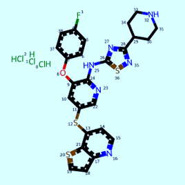 Cl.Cl.Cl.Fc1ccc(Oc2cc(Sc3ccnc4ccsc34)cnc2Nc2nc(C3CCNCC3)ns2)cc1